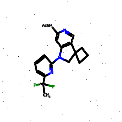 CC(=O)Nc1cc2c(cn1)C1(CCC1)CN2c1cccc(C(C)(F)F)n1